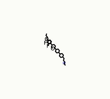 C/C=C/CCC1CCC(C2CCC(C3CCC(c4ccc(OCCC)c(F)c4F)CO3)CC2)CC1